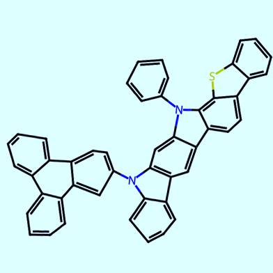 c1ccc(-n2c3cc4c(cc3c3ccc5c6ccccc6sc5c32)c2ccccc2n4-c2ccc3c4ccccc4c4ccccc4c3c2)cc1